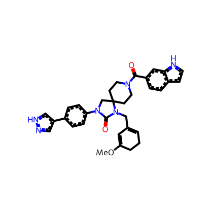 COC1=CC(CN2C(=O)N(c3ccc(-c4cn[nH]c4)cc3)CC23CCN(C(=O)c2ccc4cc[nH]c4c2)CC3)=CCC1